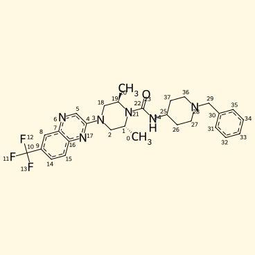 C[C@@H]1CN(c2cnc3cc(C(F)(F)F)ccc3n2)C[C@@H](C)N1C(=O)NC1CCN(Cc2ccccc2)CC1